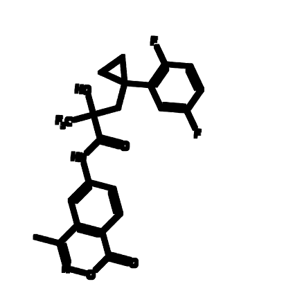 Cc1noc(=O)c2ccc(NC(=O)C(O)(CC3(c4cc(F)ccc4F)CC3)C(F)(F)F)cc12